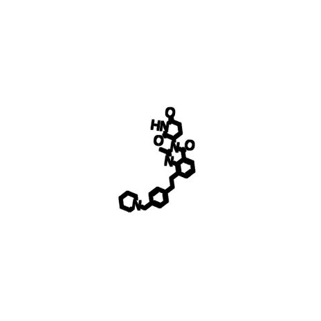 Cc1nc2c(CCc3ccc(CN4CCCCC4)cc3)cccc2c(=O)n1C1CCC(=O)NC1=O